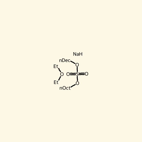 CCCCCCCCCCOS(=O)(=O)OCCCCCCCC.CCOCC.[NaH]